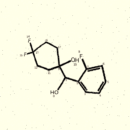 OC(c1ccccc1F)C1(O)CCC(F)(F)CC1